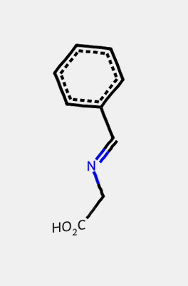 O=C(O)CN=Cc1ccccc1